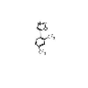 FC(F)(F)c1ccc(-c2cn[c]o2)c(C(F)(F)F)c1